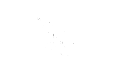 CC(C)c1ccc(N2c3ccccc3B3c4ccccc4N(c4ccccc4)c4cccc2c43)cc1